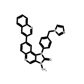 Cn1c(=O)n(-c2ccc(Cn3ccnc3)cc2)c2c3cc(-c4cnc5ccccc5c4)ccc3ncc21